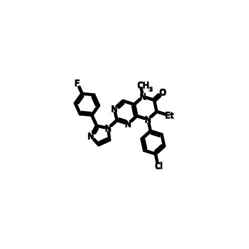 CCC1C(=O)N(C)c2cnc(-n3ccnc3-c3ccc(F)cc3)nc2N1c1ccc(Cl)cc1